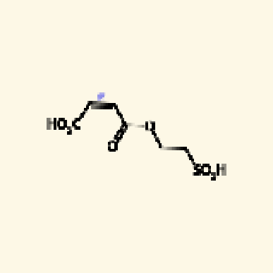 O=C(O)/C=C\C(=O)OCCS(=O)(=O)O